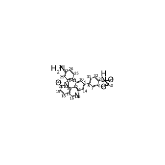 CS(=O)(=O)Nc1ccc(-c2ccc3c(c2)ncc2ccc(=O)n(-c4cccc(N)c4)c23)cc1